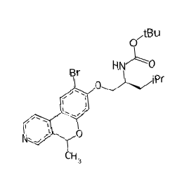 CC(C)C[C@@H](COc1cc2c(cc1Br)-c1ccncc1C(C)O2)NC(=O)OC(C)(C)C